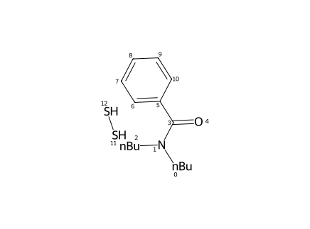 CCCCN(CCCC)C(=O)c1ccccc1.SS